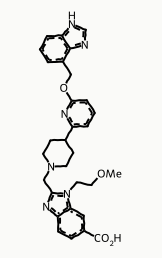 COCCn1c(CN2CCC(c3cccc(OCc4cccc5[nH]cnc45)n3)CC2)nc2ccc(C(=O)O)cc21